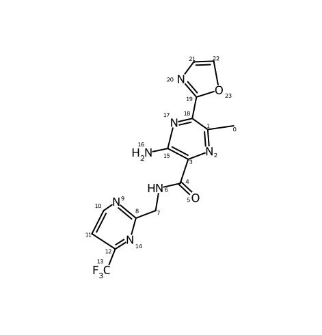 Cc1nc(C(=O)NCc2nccc(C(F)(F)F)n2)c(N)nc1-c1ncco1